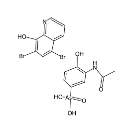 CC(=O)Nc1cc([As](=O)(O)O)ccc1O.Oc1c(Br)cc(Br)c2cccnc12